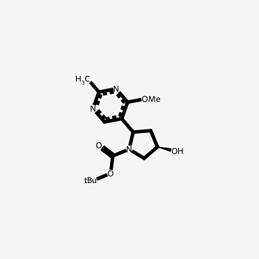 COc1nc(C)ncc1C1C[C@@H](O)CN1C(=O)OC(C)(C)C